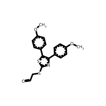 COc1ccc(-c2nc(SCC=O)sc2-c2ccc(OC)cc2)cc1